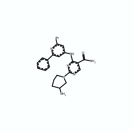 CC(C)c1cc(Nc2nc(N3CCCC(N)C3)ncc2C(N)=O)cc(-c2ccccc2)n1